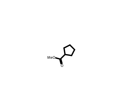 [CH2]OC(=O)C1CCCC1